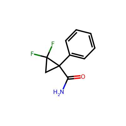 NC(=O)C1(c2ccccc2)CC1(F)F